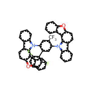 Fc1cccc(F)c1-c1cc(-n2c3ccccc3c3ccc4oc5ccccc5c4c32)c(C(F)(F)F)cc1-n1c2ccccc2c2ccc3oc4ccccc4c3c21